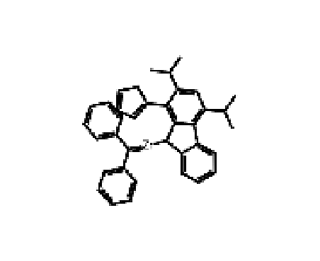 CC(C)c1cc(C(C)C)c2c(c1C1=CC=CC1)[CH]([Zr]=[C](c1ccccc1)c1ccccc1)c1ccccc1-2